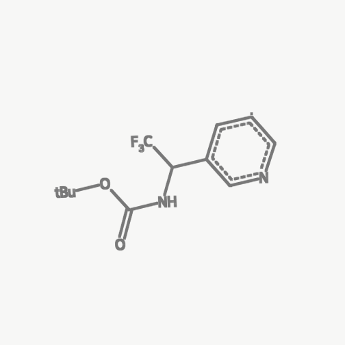 CC(C)(C)OC(=O)NC(c1c[c]cnc1)C(F)(F)F